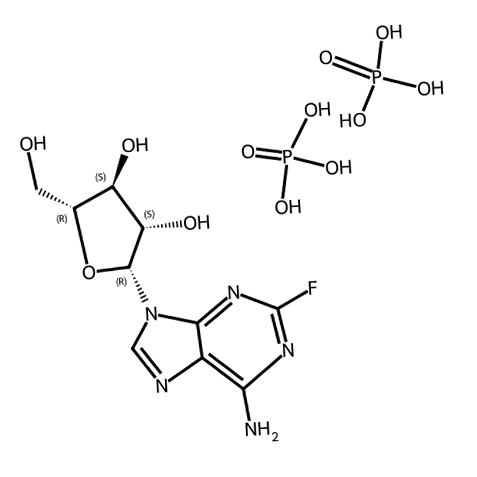 Nc1nc(F)nc2c1ncn2[C@@H]1O[C@H](CO)[C@@H](O)[C@@H]1O.O=P(O)(O)O.O=P(O)(O)O